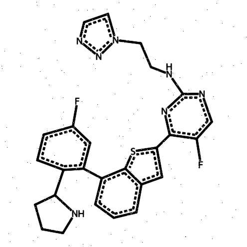 Fc1ccc(C2CCCN2)c(-c2cccc3cc(-c4nc(NCCn5ccnn5)ncc4F)sc23)c1